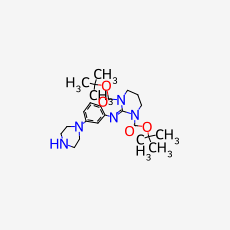 CC(C)(C)OC(=O)N1CCCN(C(=O)OC(C)(C)C)C1=Nc1cccc(N2CCNCC2)c1